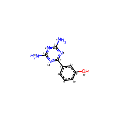 Nc1nc(N)nc(-c2cccc(O)c2)n1